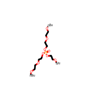 CCCCOCCOCCOP(=O)(OCCOCCC)OCCOCCOCCCC